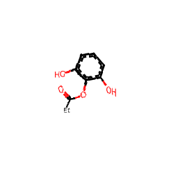 CCC(=O)Oc1c(O)cccc1O